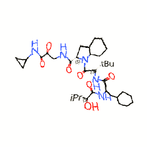 CC(C)[C@H](O)C(=O)NC(C(=O)N[C@H](C(=O)N1C2CCCCC2C[C@H]1C(=O)NCC(=O)C(=O)NC1CC1)C(C)(C)C)C1CCCCC1